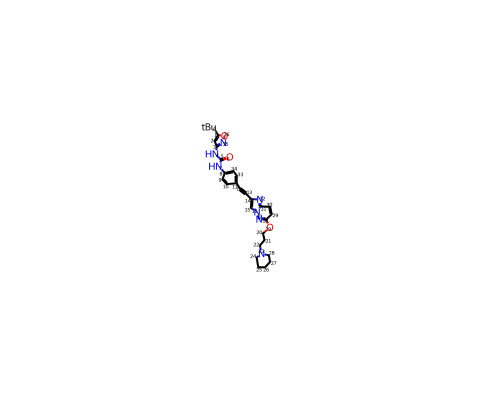 CC(C)(C)c1cc(NC(=O)Nc2ccc(C#Cc3cn4nc(OCCCN5CCCCC5)ccc4n3)cc2)no1